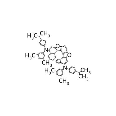 Cc1cc(C)cc(N(c2ccc(C(C)C)cc2)c2cc3oc4ccc5oc6cc(N(c7ccc(C(C)C)cc7)c7cc(C)cc(C)c7)c7ccccc7c6c5c4c3c3ccccc23)c1